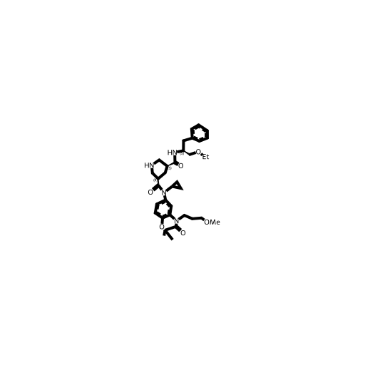 CCOC[C@H](Cc1ccccc1)NC(=O)[C@@H]1CNC[C@H](C(=O)N(c2ccc3c(c2)N(CCCOC)C(=O)C(C)(C)O3)C2CC2)C1